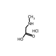 CNCC(=O)O.Cl